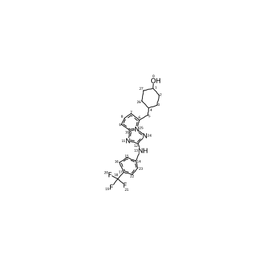 OC1CCC(Cc2cccc3nc(Nc4ccc(C(F)(F)F)cc4)nn23)CC1